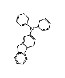 C1=CCCC(N(C2=CCC3C(=C2)Cc2ccccc23)C2C=CC=CC2)=C1